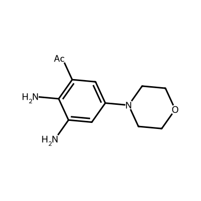 CC(=O)c1cc(N2CCOCC2)cc(N)c1N